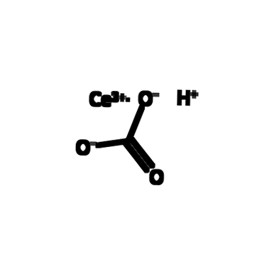 O=C([O-])[O-].[Ce+3].[H+]